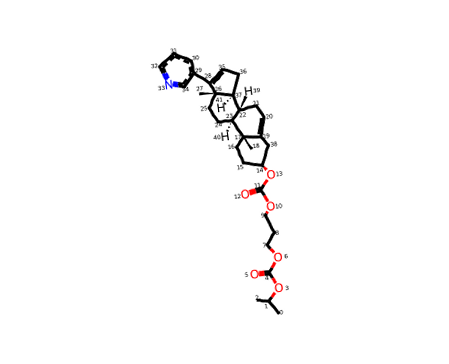 CC(C)OC(=O)OCCCOC(=O)O[C@H]1CC[C@@]2(C)C(=CC[C@@H]3[C@@H]2CC[C@]2(C)C(c4cccnc4)=CC[C@@H]32)C1